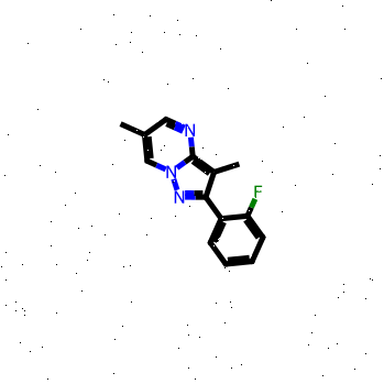 Cc1cnc2c(C)c(-c3ccccc3F)nn2c1